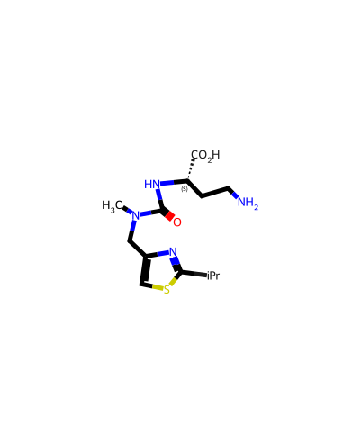 CC(C)c1nc(CN(C)C(=O)N[C@@H](CCN)C(=O)O)cs1